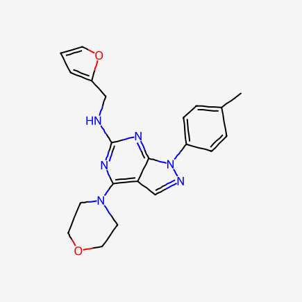 Cc1ccc(-n2ncc3c(N4CCOCC4)nc(NCc4ccco4)nc32)cc1